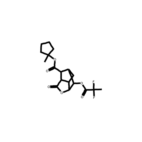 CC1(OC(=O)C2C3CC4C(OC(=O)C42)C3OC(=O)C(C)(F)F)CCCC1